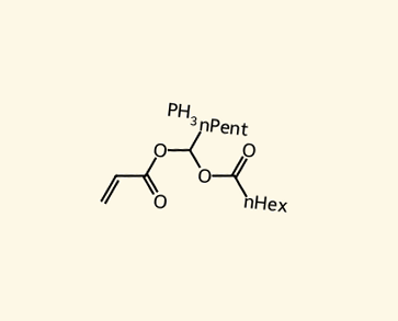 C=CC(=O)OC(CCCCC)OC(=O)CCCCCC.P